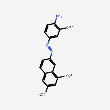 COc1cc(/N=N/c2ccc3cc(S(=O)(=O)O)cc(S(=O)(=O)O)c3c2)ccc1N